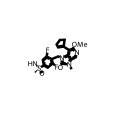 COc1ncc2c(c1C1=CCCC1)n(Cc1c(F)cc([S@@](C)(=N)=O)cc1F)c(=O)n2C